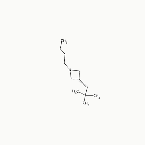 CCCCN1CC(=CC(C)(C)C)C1